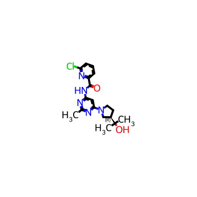 Cc1nc(NC(=O)c2cccc(Cl)n2)cc(N2CC[C@@H](C(C)(C)O)C2)n1